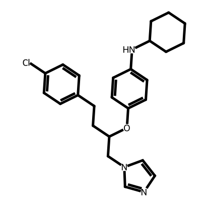 Clc1ccc(CCC(Cn2ccnc2)Oc2ccc(NC3CCCCC3)cc2)cc1